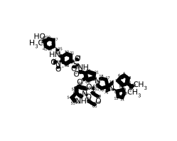 CC(C)c1ccccc1[C@H]1CCC[C@H]1N1CC2(CCN(c3ccc(C(=O)NS(=O)(=O)c4ccc(NC[C@H]5CC[C@](C)(O)CC5)c([N+](=O)[O-])c4)c(Oc4cc5cc[nH]c5nc4OC[C@@H]4COCCO4)c3)CC2)C1